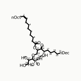 CCCCCCCC/C=C\CCCCCCCC(=O)OC(C(=O)CCCCCCCCCCCCCCC)[C@H](CO)OC(C(O)CO)P(=O)(O)O